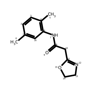 Cc1ccc(C)c(NC(=O)CC2=NCCO2)c1